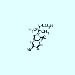 CC(C)(CC(=O)O)N1Cc2cc(Br)ccc2C1=O